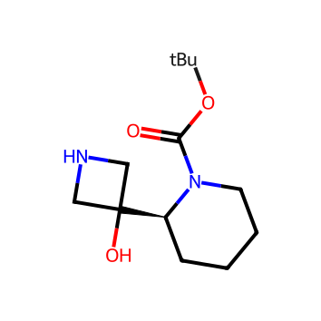 CC(C)(C)OC(=O)N1CCCC[C@H]1C1(O)CNC1